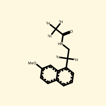 [2H]C([2H])([2H])C(=O)NCC([2H])([2H])c1cccc2ccc(OC)cc12